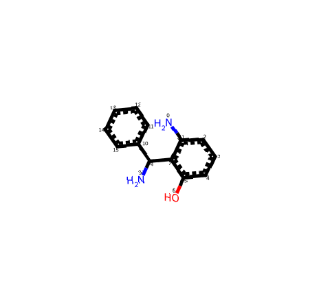 Nc1cccc(O)c1C(N)c1ccccc1